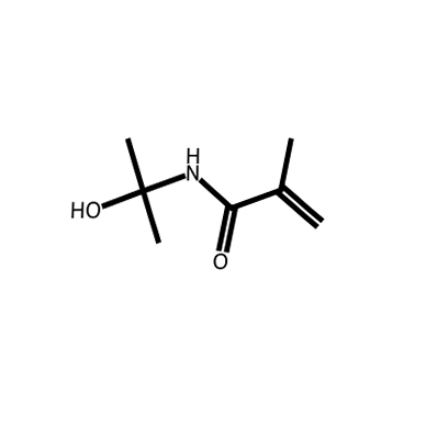 C=C(C)C(=O)NC(C)(C)O